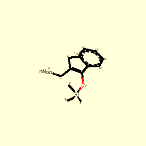 CCCCCCCCCCC1=C(O[Si](C)(C)C)c2ccccc2C1